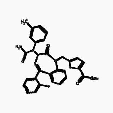 COC(=O)c1ccc(CN2C(=O)C(N(C(N)=O)c3cccc(C)c3)N=C(c3ccccc3F)c3ccccc32)s1